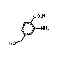 Nc1cc(CO)ccc1C(=O)O